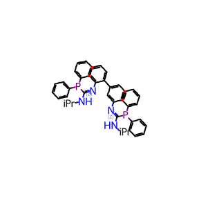 CC(C)N/C(=N/c1cccc(-c2ccccc2/N=C(/NC(C)C)P(c2ccccc2)c2ccccc2)c1)P(c1ccccc1)c1ccccc1